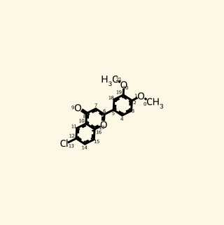 COc1ccc(-c2cc(=O)c3cc(Cl)ccc3o2)cc1OC